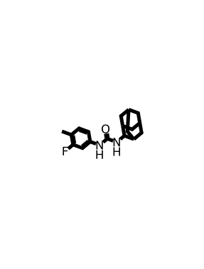 Cc1ccc(NC(=O)NC2C3CC4CC(C3)CC2C4)cc1F